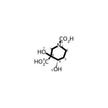 O=C(O)N1CC[C@H](O)[C@@](O)(C(=O)O)C1